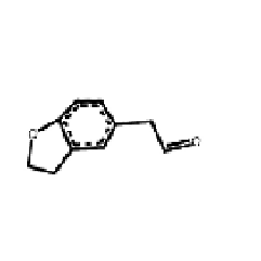 O=CCc1ccc2c(c1)CCO2